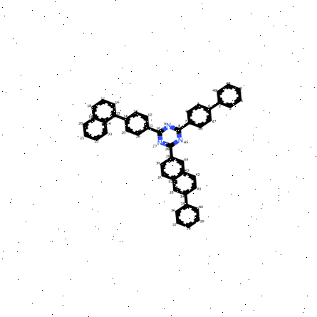 c1ccc(-c2ccc(-c3nc(-c4ccc(-c5cccc6ccccc56)cc4)nc(-c4ccc5cc(-c6ccccc6)ccc5c4)n3)cc2)cc1